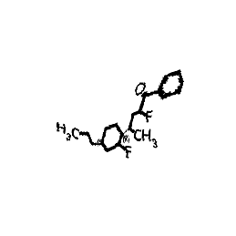 CCC[C@H]1CC[C@H](C(C)CC(F)C(=O)c2ccccc2)C(F)C1